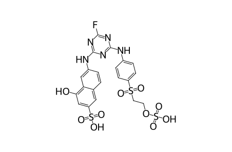 O=S(=O)(O)OCCS(=O)(=O)c1ccc(Nc2nc(F)nc(Nc3ccc4cc(S(=O)(=O)O)cc(O)c4c3)n2)cc1